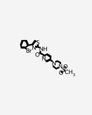 CS(=O)(=O)N1CCN(c2ccc(C(=O)Nc3nc(-c4ccccc4Br)cs3)nc2)CC1